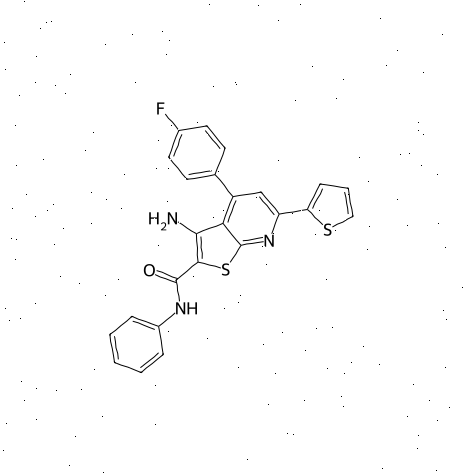 Nc1c(C(=O)Nc2ccccc2)sc2nc(-c3cccs3)cc(-c3ccc(F)cc3)c12